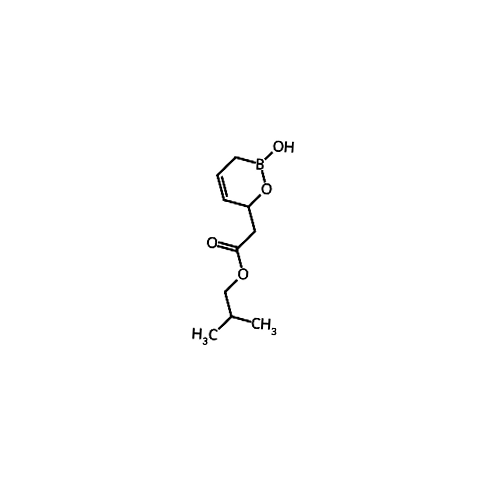 CC(C)COC(=O)CC1C=CCB(O)O1